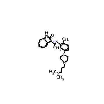 C/C(=N\c1cc(N2CCN(CCCN(C)C)CC2)ccc1C)c1c2cccccc-2[nH]c1=O